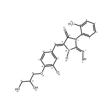 CCC/N=C1/N(c2ccccc2C)C(=O)C(=Cc2ccc(OCC(O)CO)c(Cl)c2)[S+]1[O-]